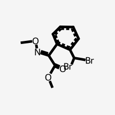 CO/N=C(/C(=O)OC)c1ccccc1C(Br)Br